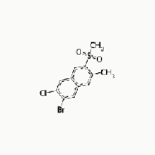 Cc1cc2cc(Br)c(Cl)cc2cc1S(C)(=O)=O